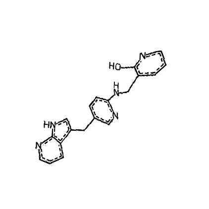 Oc1ncccc1CNc1ccc(Cc2c[nH]c3ncccc23)cn1